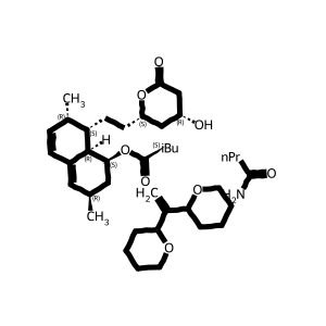 C=C(C1CCCCO1)C1CCCCO1.CCCC(N)=O.CC[C@H](C)C(=O)O[C@H]1C[C@@H](C)C=C2C=C[C@H](C)[C@H](CC[C@H]3C[C@@H](O)CC(=O)O3)[C@H]21